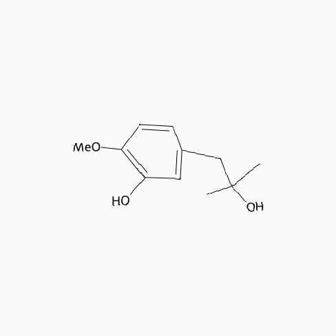 COc1ccc(CC(C)(C)O)cc1O